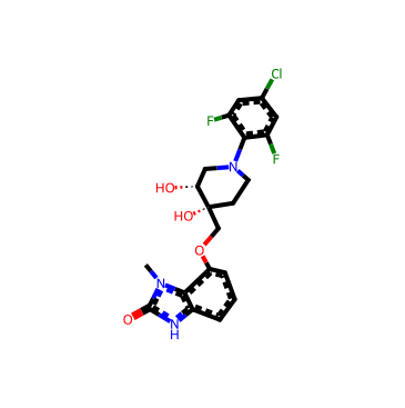 Cn1c(=O)[nH]c2cccc(OC[C@]3(O)CCN(c4c(F)cc(Cl)cc4F)C[C@H]3O)c21